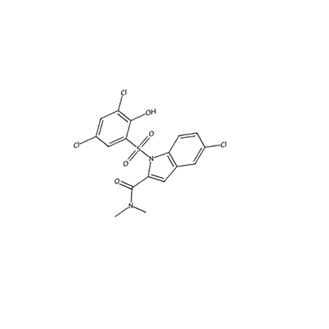 CN(C)C(=O)c1cc2cc(Cl)ccc2n1S(=O)(=O)c1cc(Cl)cc(Cl)c1O